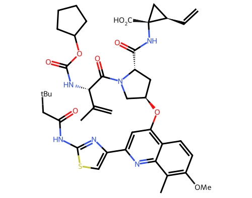 C=C[C@@H]1C[C@]1(NC(=O)[C@@H]1C[C@@H](Oc2cc(-c3csc(NC(=O)CC(C)(C)C)n3)nc3c(C)c(OC)ccc23)CN1C(=O)[C@@H](NC(=O)OC1CCCC1)C(=C)C)C(=O)O